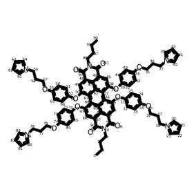 CCCCN1C(=O)c2cc(Oc3ccc(OCCCn4cccc4)cc3)c3c4c(Oc5ccc(OCCCn6cccc6)cc5)cc5c6c(cc(Oc7ccc(OCCCn8cccc8)cc7)c(c7c(Oc8ccc(OCCCn9cccc9)cc8)cc(c2c37)C1=O)c64)C(=O)N(CCCC)C5=O